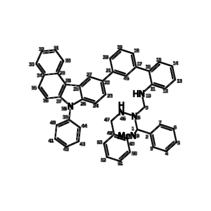 CNC(c1ccccc1)N(CNc1ccccc1-c1cccc(-c2ccc3c(c2)c2c4ccccc4ccc2n3-c2ccccc2)c1)NCc1ccccc1